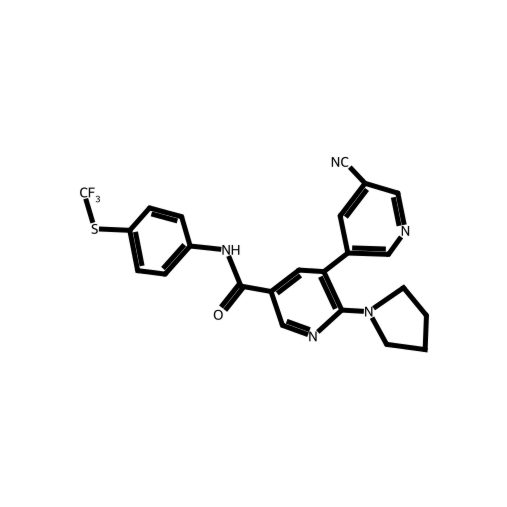 N#Cc1cncc(-c2cc(C(=O)Nc3ccc(SC(F)(F)F)cc3)cnc2N2CCCC2)c1